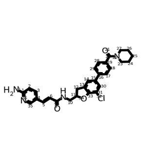 Nc1ccc(C=CC(=O)NCC2Cc3cc(-c4ccc(C(=O)N5CCCCC5)cc4)cc(Cl)c3O2)cn1